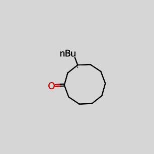 CCCC[C]1CCCCCCCC(=O)C1